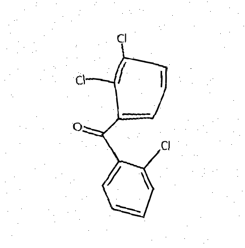 O=C(c1ccccc1Cl)c1cccc(Cl)c1Cl